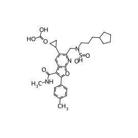 CNC(=O)c1c(-c2ccc(C)cc2)oc2nc(CN(CCCC3CCCC3)[SH](=O)=O)c(C3CC3)cc12.O=C(O)O